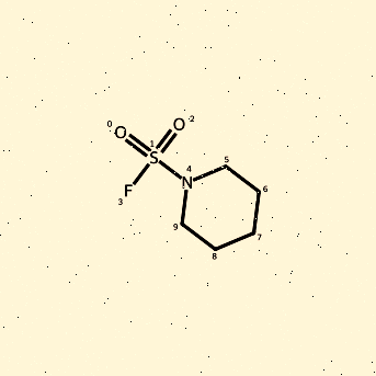 O=S(=O)(F)N1CCCCC1